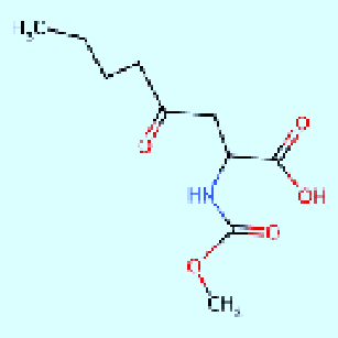 CCCCC(=O)CC(NC(=O)OC)C(=O)O